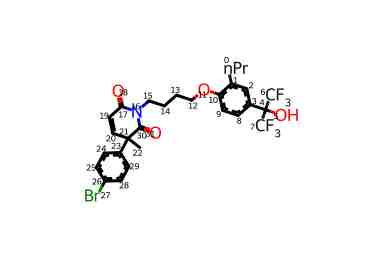 CCCc1cc(C(O)(C(F)(F)F)C(F)(F)F)ccc1OCCCCN1C(=O)C=CC(C)(c2ccc(Br)cc2)C1=O